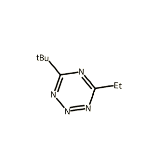 CCc1nnnc(C(C)(C)C)n1